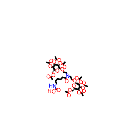 CC(=O)OC[C@H]1O[C@H](OCCN(CCO[C@H]2O[C@H](COC(C)=O)[C@@H](OC(C)=O)[C@H](OC(C)=O)[C@@H]2OC(C)=O)C(=O)CCCCCNC(=O)O)[C@@H](OC(C)=O)[C@@H](OC(C)=O)[C@@H]1OC(C)=O